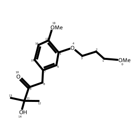 COCCCOc1cc(CC(=O)C(C)(C)O)ccc1OC